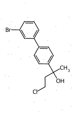 CC(O)(CCCl)c1ccc(-c2cccc(Br)c2)cc1